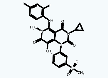 Cc1c(=O)n(C)c(Nc2ccc(I)cc2F)c2c(=O)n(C3CC3)c(=O)n(-c3cccc(S(C)(=O)=O)c3)c12